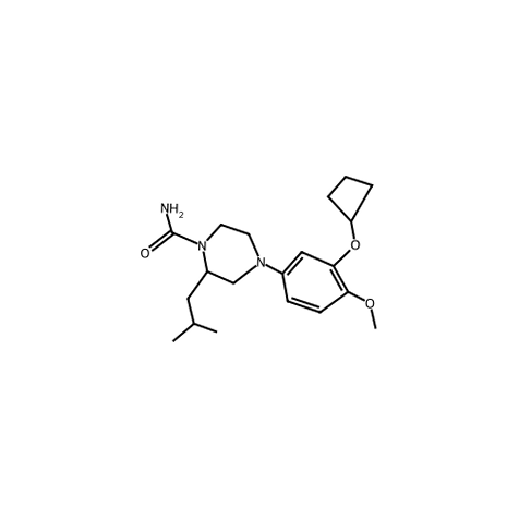 COc1ccc(N2CCN(C(N)=O)C(CC(C)C)C2)cc1OC1CCC1